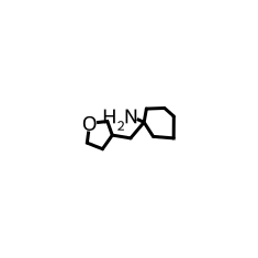 NC1(CC2CCOC2)CCCCC1